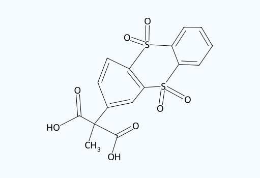 CC(C(=O)O)(C(=O)O)c1ccc2c(c1)S(=O)(=O)c1ccccc1S2(=O)=O